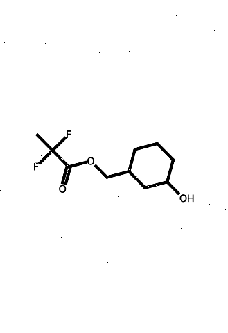 CC(F)(F)C(=O)OCC1CCCC(O)C1